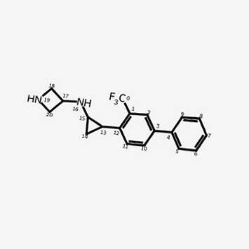 FC(F)(F)c1cc(-c2ccccc2)ccc1C1CC1NC1CNC1